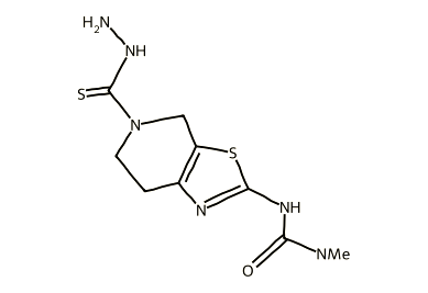 CNC(=O)Nc1nc2c(s1)CN(C(=S)NN)CC2